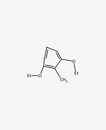 CCOc1[c]ccc(OCC)c1C